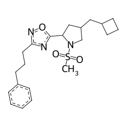 CS(=O)(=O)N1CC(CC2CCC2)CC1c1nc(CCCc2ccccc2)no1